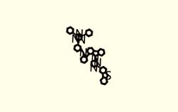 c1ccc(-c2nc(-c3ccccc3)nc(-c3cccc(-n4c5ccccc5c5c4ccc4c6ccccc6n(-c6ccnc(-c7ccc8sc9ccccc9c8c7)n6)c45)c3)n2)cc1